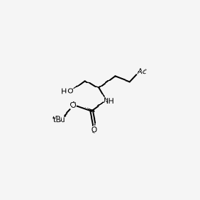 CC(=O)CCC(CO)NC(=O)OC(C)(C)C